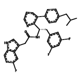 CC(C)Cc1ccc(-c2cccnc2[C@H](Cc2cc(F)cc(F)c2)NC(=O)Cc2c[nH]c3ccc(F)cc23)cc1